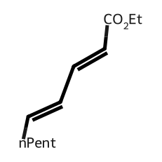 CCCCCC=C/C=C/C(=O)OCC